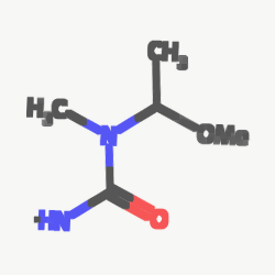 COC(C)N(C)C([NH])=O